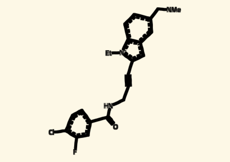 CCn1c(C#CCNC(=O)c2ccc(Cl)c(F)c2)cc2cc(CNC)ccc21